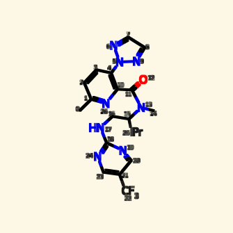 Cc1ccc(-n2nccn2)c(C(=O)N(C)C(CNc2ncc(C(F)(F)F)cn2)C(C)C)n1